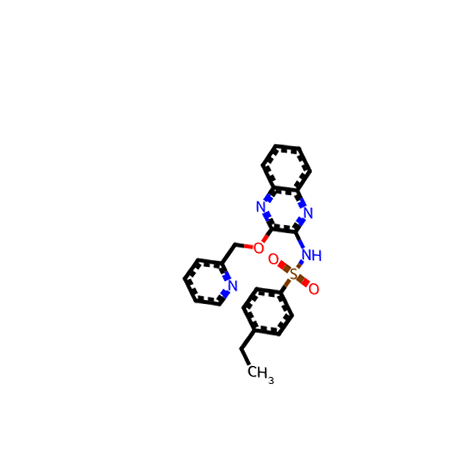 CCc1ccc(S(=O)(=O)Nc2nc3ccccc3nc2OCc2ccccn2)cc1